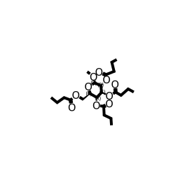 CCCC(=O)OC[C@H]1O[C@@H](OC)[C@H](OC(=O)CCC)[C@@H](OC(=O)CCC)[C@@H]1OC(=O)CCC